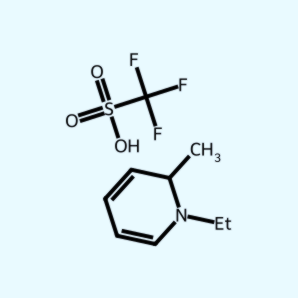 CCN1C=CC=CC1C.O=S(=O)(O)C(F)(F)F